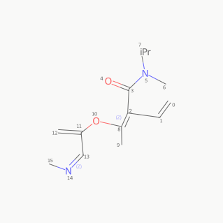 C=C/C(C(=O)N(C)C(C)C)=C(\C)OC(=C)/C=N\C